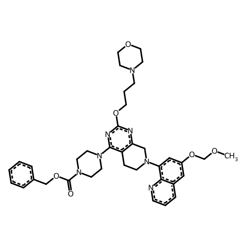 COCOc1cc(N2CCc3c(nc(OCCCN4CCOCC4)nc3N3CCN(C(=O)OCc4ccccc4)CC3)C2)c2ncccc2c1